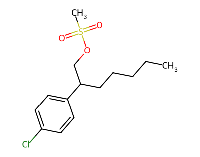 CCCCCC(COS(C)(=O)=O)c1ccc(Cl)cc1